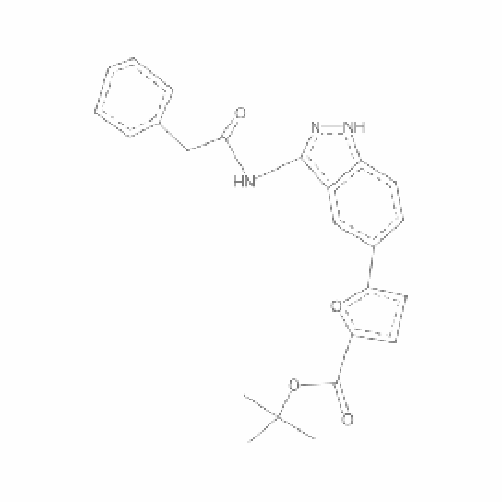 CC(C)(C)OC(=O)c1ccc(-c2ccc3[nH]nc(NC(=O)Cc4ccccc4)c3c2)o1